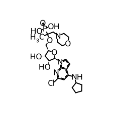 CC(CN1CCOCC1)(OC[C@H]1O[C@@H](n2ccc3c(NC4CCCC4)cc(Cl)nc32)[C@H](O)[C@@H]1O)P(=O)(O)O